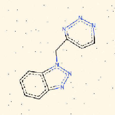 c1ccc2c(c1)nnn2Cc1ccnnn1